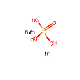 O=P(O)(O)O.[H+].[NaH]